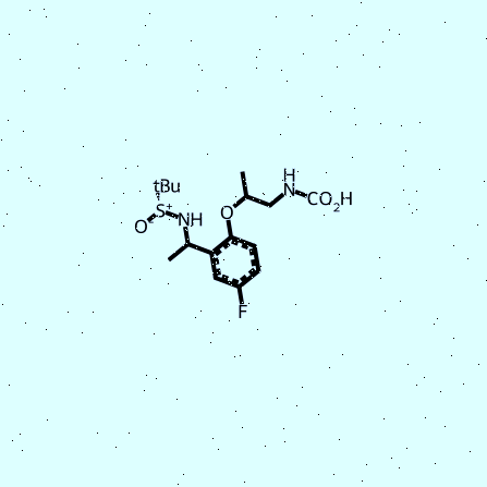 CC(CNC(=O)O)Oc1ccc(F)cc1C(C)N[S@+]([O-])C(C)(C)C